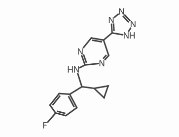 Fc1ccc(C(Nc2ncc(-c3nnn[nH]3)cn2)C2CC2)cc1